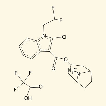 CN1C2CCC1CC(OC(=O)c1c(Cl)n(CC(F)F)c3ccccc13)C2.O=C(O)C(F)(F)F